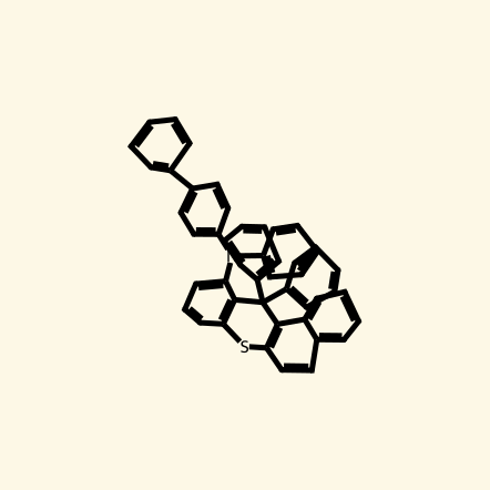 c1ccc(-c2ccc(N(c3ccccc3)c3cccc4c3C(c3ccccc3)(c3ccccc3)c3c(ccc5ccccc35)S4)cc2)cc1